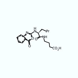 CC(C)C[C@H](Nc1nc2ccccc2c(=O)o1)C(=O)NCCCC(=O)O